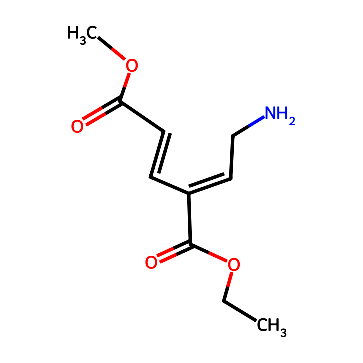 CCOC(=O)C(C=CC(=O)OC)=CCN